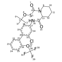 CC(C)(C)OSC(=O)N1CCCCC1C(=O)Nc1ccc(-c2ccccc2OC(F)(F)F)c(Cl)c1